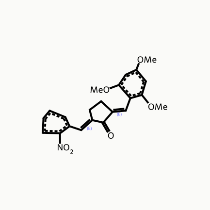 COc1cc(OC)c(/C=C2\CC/C(=C\c3ccccc3[N+](=O)[O-])C2=O)c(OC)c1